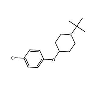 CC(C)(C)N1CCC(Oc2ccc(Cl)cc2)CC1